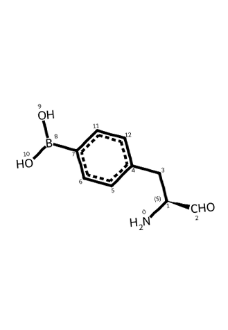 N[C@H](C=O)Cc1ccc(B(O)O)cc1